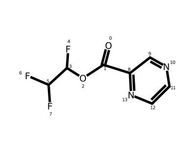 O=C(OC(F)C(F)F)c1cnccn1